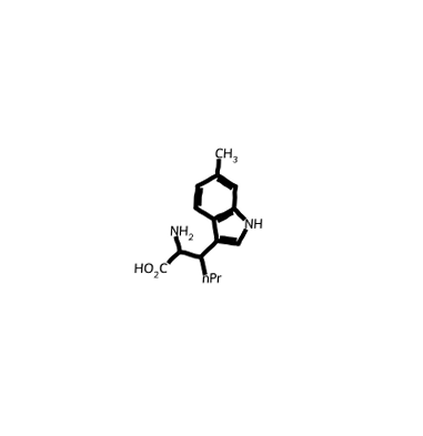 CCCC(c1c[nH]c2cc(C)ccc12)C(N)C(=O)O